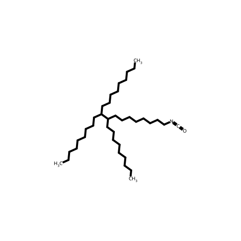 CCCCCCCCCC(CCCCCCCCC)C(CCCCCCCCC)CCCCCCCCN=C=O